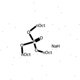 CCCCCCCCOP(=O)(OCCCCCCCC)OCCCCCCCC.[NaH]